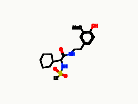 CCS(=O)(=O)NC(C(=O)NCCc1ccc(O)c(OC)c1)C1CCCCC1